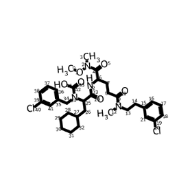 CON(C)C(=O)C(CCC(=O)N(C)CCc1cccc(Cl)c1)NC(=O)C(CC1CCCCC1)N(Cc1cccc(Cl)c1)C(=O)O